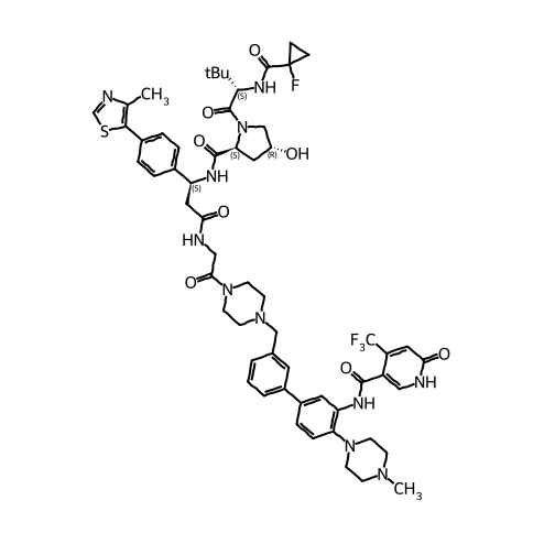 Cc1ncsc1-c1ccc([C@H](CC(=O)NCC(=O)N2CCN(Cc3cccc(-c4ccc(N5CCN(C)CC5)c(NC(=O)c5c[nH]c(=O)cc5C(F)(F)F)c4)c3)CC2)NC(=O)[C@@H]2C[C@@H](O)CN2C(=O)[C@@H](NC(=O)C2(F)CC2)C(C)(C)C)cc1